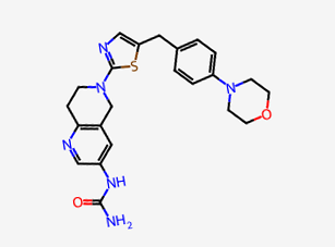 NC(=O)Nc1cnc2c(c1)CN(c1ncc(Cc3ccc(N4CCOCC4)cc3)s1)CC2